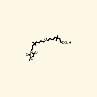 CCN1CC(=O)N(CCCC(C)(C)CCCCOCCCCC(C)(C)CCC(=O)O)C1=O